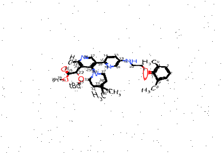 Cc1cccc(C)c1OCCNc1ccc(-c2cnc(C)c([C@H](OC(C)(C)C)C(=O)OC(C)C)c2N2CCC(C)(C)CC2)nc1